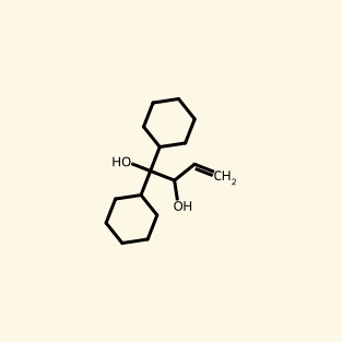 C=CC(O)C(O)(C1CCCCC1)C1CCCCC1